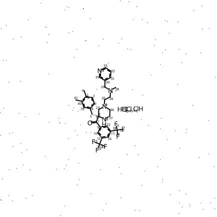 Cc1ccc(C[C@]2(C(=O)c3cc(C(F)(F)F)cc(C(F)(F)F)c3)CN(CCN(C)Cc3cccnc3)CCN2)cc1C.Cl.Cl.Cl